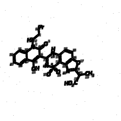 CC(C)CNn1c(=O)c(C2=NS(=O)(=O)c3c(ccc4oc(C(C)C(=O)O)nc34)N2)c(O)c2ccccc21